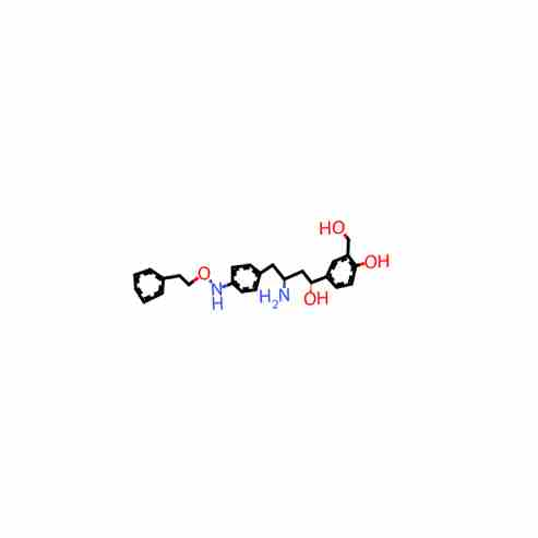 N[C@@H](Cc1ccc(NOCCc2ccccc2)cc1)C[C@@H](O)c1ccc(O)c(CO)c1